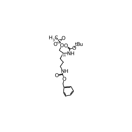 CC(C)(C)OC(=O)N[C@@H](CCCNC(=O)OCc1ccccc1)COS(C)(=O)=O